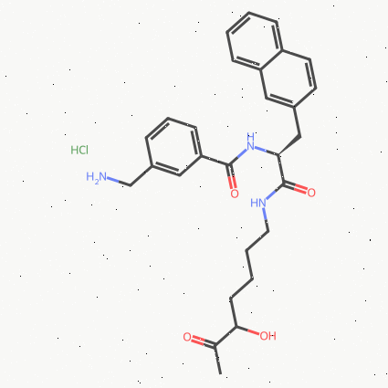 CC(=O)C(O)CCCCNC(=O)[C@H](Cc1ccc2ccccc2c1)NC(=O)c1cccc(CN)c1.Cl